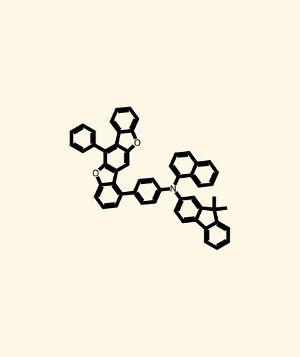 CC1(C)c2ccccc2-c2ccc(N(c3ccc(-c4cccc5oc6c(-c7ccccc7)c7c(cc6c45)oc4ccccc47)cc3)c3cccc4ccccc34)cc21